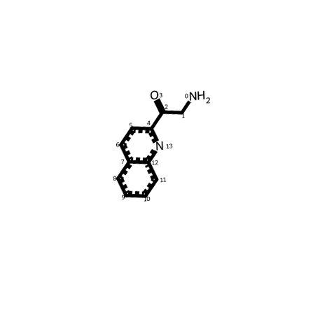 NCC(=O)c1ccc2ccccc2n1